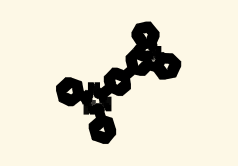 c1ccc(-c2nc(-c3ccccc3)nc(-c3ccc(-c4cc5c6ccccc6n6c7ccccc7c(c4)c56)cc3)n2)cc1